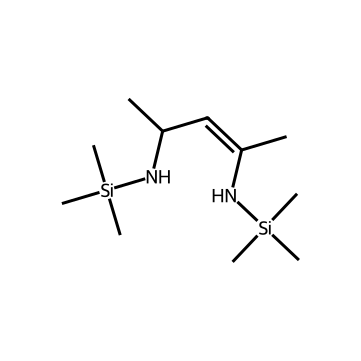 CC(=CC(C)N[Si](C)(C)C)N[Si](C)(C)C